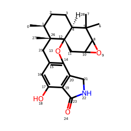 C[C@H]1CC[C@H]2C(C)(C)C3OC3C[C@]23Oc2c(cc(O)c4c2CNC4=O)C[C@]13C